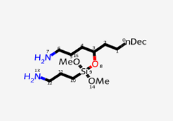 CCCCCCCCCCCCC(CCCN)O[Si](CCCN)(OC)OC